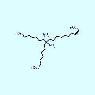 CCCCCCCC/C=C\CCCCCCCC(N)(CCCCCCCCCCCCCCCC)C(N)CCCCCCCCCCCCCCC